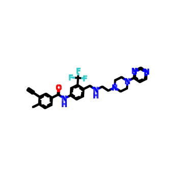 C#Cc1cc(C(=O)Nc2ccc(CNCCN3CCN(c4ccncn4)CC3)c(C(F)(F)F)c2)ccc1C